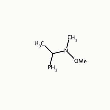 CON(C)C(C)P